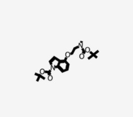 CN(CCOc1cccc2c1ccn2C(=O)OC(C)(C)C)C(=O)OC(C)(C)C